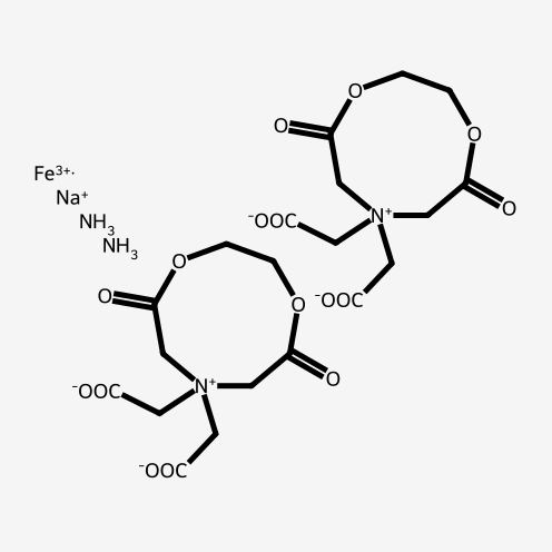 N.N.O=C([O-])C[N+]1(CC(=O)[O-])CC(=O)OCCOC(=O)C1.O=C([O-])C[N+]1(CC(=O)[O-])CC(=O)OCCOC(=O)C1.[Fe+3].[Na+]